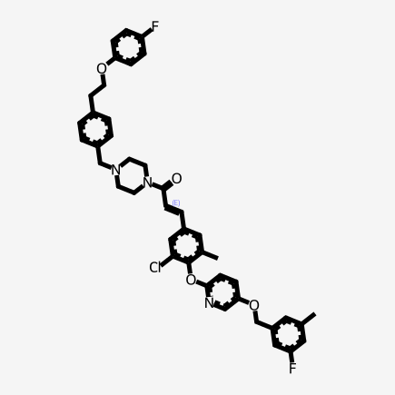 Cc1cc(F)cc(COc2ccc(Oc3c(C)cc(/C=C/C(=O)N4CCN(Cc5ccc(CCOc6ccc(F)cc6)cc5)CC4)cc3Cl)nc2)c1